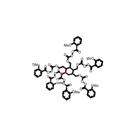 COc1ccccc1C(=O)OOC(=O)OCCC(COC(=O)OOC(=O)c1ccccc1OC)C(COC(=O)OOC(=O)c1ccccc1OC)C(COC(=O)OOC(=O)c1ccccc1OC)C(CCOC(=O)OOC(=O)c1ccccc1OC)COC(=O)OOC(=O)c1ccccc1OC